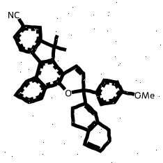 COc1ccc(C2(C3=CC4=C(C=CCC4)CC3)C=Cc3c4c(c5ccccc5c3O2)-c2ccc(C#N)cc2C4(C)C)cc1